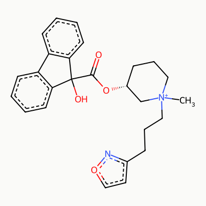 C[N+]1(CCCc2ccon2)CCC[C@@H](OC(=O)C2(O)c3ccccc3-c3ccccc32)C1